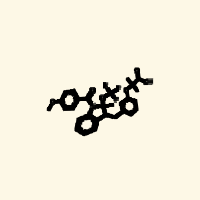 COc1ccc(C(=O)N2c3ccccc3C(Cc3cccc(OC(C)(C)C(=O)O)c3)C2(C)OC(F)(F)F)cc1